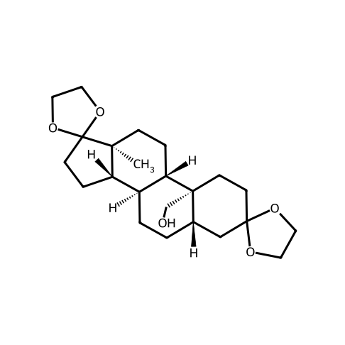 C[C@]12CC[C@H]3[C@@H](CC[C@H]4CC5(CC[C@@]43CO)OCCO5)[C@@H]1CCC21OCCO1